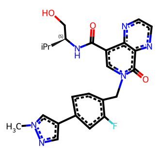 CC(C)[C@@H](CO)NC(=O)c1cn(Cc2ccc(-c3cnn(C)c3)cc2F)c(=O)c2nccnc12